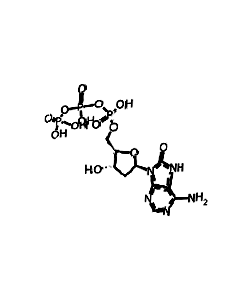 Nc1ncnc2c1[nH]c(=O)n2[C@H]1C[C@H](O)[C@@H](COP(=O)(O)OP(=O)(O)OP(=O)(O)O)O1